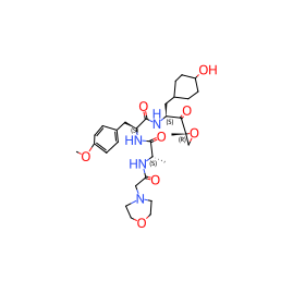 COc1ccc(C[C@H](NC(=O)[C@H](C)NC(=O)CN2CCOCC2)C(=O)N[C@@H](CC2CCC(O)CC2)C(=O)[C@@]2(C)CO2)cc1